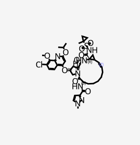 COc1c(Cl)ccc2c(O[C@@H]3C[C@H]4C(=O)N[C@]5(C(=O)NS(=O)(=O)C6(C)CC6)CC5/C=C\CCCCC[C@H](NC(=O)c5ccn(C)n5)C(=O)N4C3)cc(OC(C)C)nc12